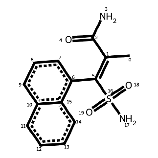 CC(C(N)=O)=C(c1cccc2ccccc12)S(N)(=O)=O